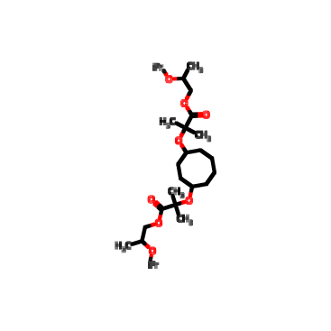 CC(C)OC(C)COC(=O)C(C)(C)OC1CCCCC(OC(C)(C)C(=O)OCC(C)OC(C)C)CC1